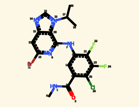 CNC(=O)c1cc(Nc2nc(Br)cc3ncn(C(C)C)c23)c(F)c(F)c1Cl